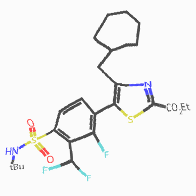 CCOC(=O)c1nc(CC2CCCCC2)c(-c2ccc(S(=O)(=O)NC(C)(C)C)c(C(F)F)c2F)s1